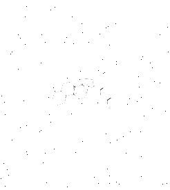 C[C@]12CC[C@H]3[C@@H](CCC4CCCC[C@@]43C)[C@@H]1CC[C@@H]2C(=O)OC(N)=S